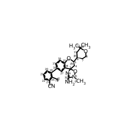 CN1OC2(C[C@H]([C@@H]3CCOC(C)(C)C3)Oc3ccc(-c4cccc(C#N)c4F)cc32)N=C1N